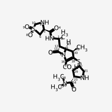 C[C@@H](NC(=O)[C@H]1CS(=O)(=O)CN1)[C@H]1C(=O)N2C(C(=O)O)=C(S[C@@H]3CN[C@H](C(=O)N(C)C)C3)[C@H](C)[C@H]12